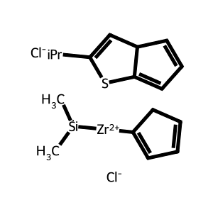 CC(C)C1=CC2C=CC=C2S1.C[Si](C)[Zr+2][C]1=CC=CC1.[Cl-].[Cl-]